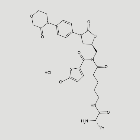 CC(C)[C@H](N)C(=O)NCCCCC(=O)N(C[C@H]1CN(c2ccc(N3CCOCC3=O)cc2)C(=O)O1)C(=O)c1ccc(Cl)s1.Cl